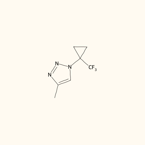 Cc1cn(C2(C(F)(F)F)CC2)nn1